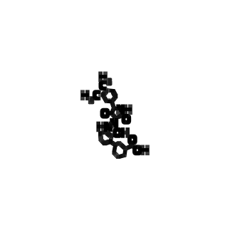 Cc1ccc(C2NC(=O)C(=NNc3cccc(C4CCCC(C(=O)O)C4)c3O)C2=O)cc1C